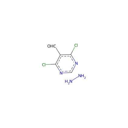 NN.O=Cc1c(Cl)ncnc1Cl